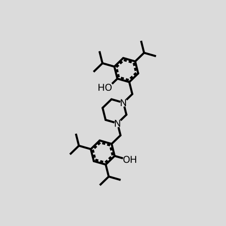 CC(C)c1cc(CN2CCCN(Cc3cc(C(C)C)cc(C(C)C)c3O)C2)c(O)c(C(C)C)c1